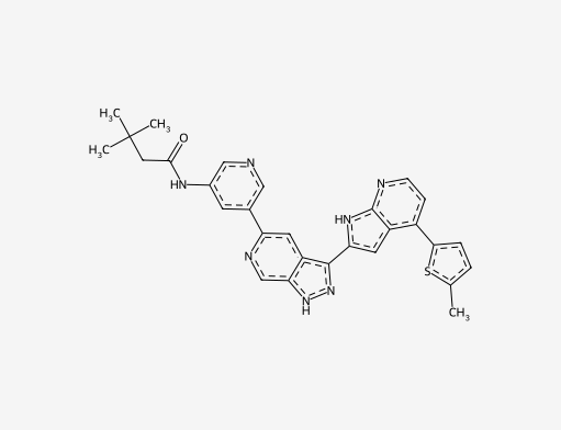 Cc1ccc(-c2ccnc3[nH]c(-c4n[nH]c5cnc(-c6cncc(NC(=O)CC(C)(C)C)c6)cc45)cc23)s1